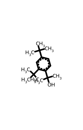 CC(C)(C)c1ccc(C(C)(C)O)c(C(C)(C)C)c1